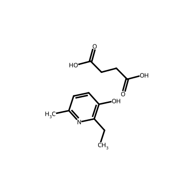 CCc1nc(C)ccc1O.O=C(O)CCC(=O)O